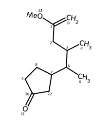 C=C(CC(C)C(C)C1CCC(=O)C1)OC